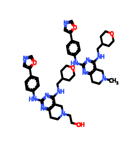 CN1CCc2nc(Nc3ccc(-c4cnco4)cc3)nc(NCC3CCOCC3)c2C1.OCCN1CCc2nc(Nc3ccc(-c4cnco4)cc3)nc(NCC3CCOCC3)c2C1